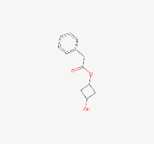 O=C(Cc1ccccc1)OC1CC(O)C1